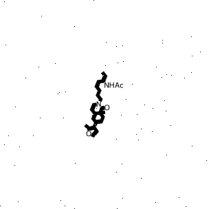 C/C=C(\C=C/CCCN1C=CC2=CC(c3ccoc3C)=CCC2(C)C1=O)NC(C)=O